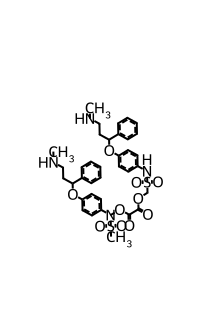 CNCCC(Oc1ccc(NS(=O)(=O)COC(=O)C(=O)ON(c2ccc(OC(CCNC)c3ccccc3)cc2)S(C)(=O)=O)cc1)c1ccccc1